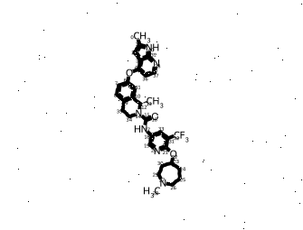 Cc1cc2c(Oc3ccc4c(c3)[C@H](C)N(C(=O)Nc3cnc(OC5CCCN(C)CC5)c(C(F)(F)F)c3)CC4)ccnc2[nH]1